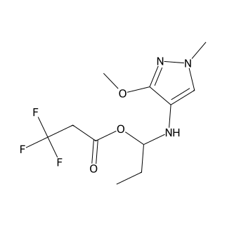 CCC(Nc1cn(C)nc1OC)OC(=O)CC(F)(F)F